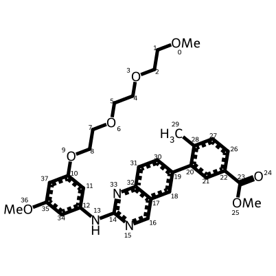 COCCOCCOCCOc1cc(Nc2ncc3cc(-c4cc(C(=O)OC)ccc4C)ccc3n2)cc(OC)c1